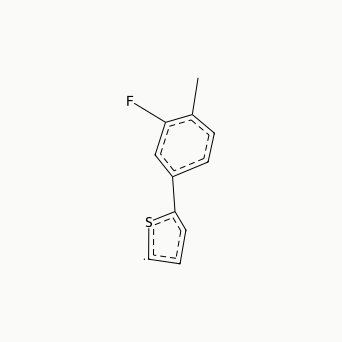 Cc1ccc(-c2cc[c]s2)cc1F